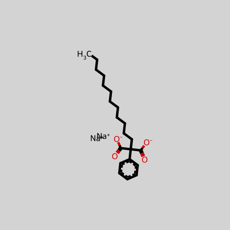 CCCCCCCCCCCCC(C(=O)[O-])(C(=O)[O-])c1ccccc1.[Na+].[Na+]